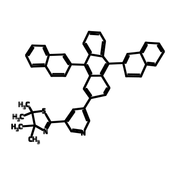 CC1(C)N=C(c2cncc(-c3ccc4c(-c5ccc6ccccc6c5)c5ccccc5c(-c5ccc6ccccc6c5)c4c3)c2)SC1(C)C